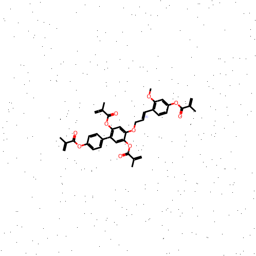 C=C(C)C(=O)Oc1ccc(-c2cc(OC(=O)C(=C)C)c(OC/C=C/c3ccc(OC(=O)C(=C)C)cc3OC)cc2OC(=O)C(=C)C)cc1